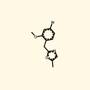 COc1cc(Br)ccc1Cc1ncc(C)o1